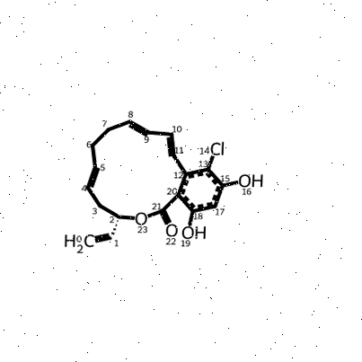 C=C[C@@H]1C/C=C/CC/C=C/C=C/c2c(Cl)c(O)cc(O)c2C(=O)O1